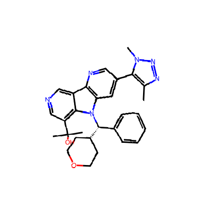 Cc1nnn(C)c1-c1cnc2c3cncc(C(C)(C)O)c3n([C@H](c3ccccc3)C3CCOCC3)c2c1